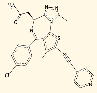 Cc1c(C#Cc2ccncc2)sc2c1C(c1ccc(Cl)cc1)=N[C@@H](CC(N)=O)c1nnc(C)n1-2